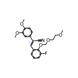 COCCOCOc1c(F)cccc1/C=C(\C#N)c1ccc(OC)c(OC)c1